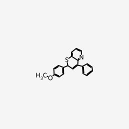 COc1ccc(C2C=C(c3ccccc3)c3ncccc3S2)cc1